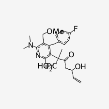 C=CC(O)CC(=O)C(C)(C(=O)O)c1c(C(C)C)nc(N(C)C)c(COC)c1-c1ccc(F)cc1